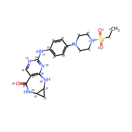 CCS(=O)(=O)N1CCN(c2ccc(Nc3ncc4c(n3)NC3CC3NC4=O)cc2)CC1